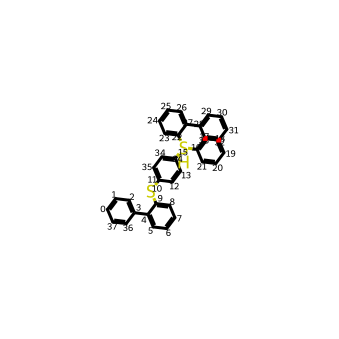 c1ccc(-c2ccccc2Sc2ccc([SH](c3ccccc3)c3ccccc3-c3ccccc3)cc2)cc1